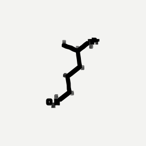 CCCC(C)CCC[N+](=O)[O-]